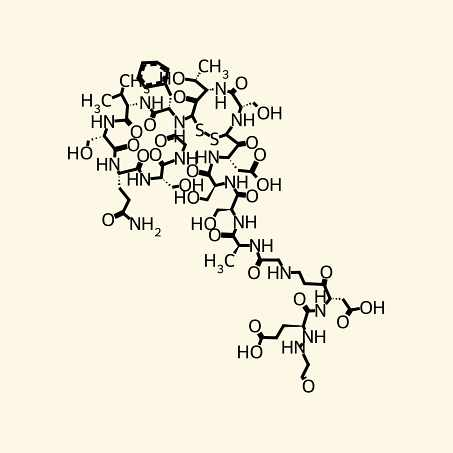 CC(C)[C@H](NC(=O)[C@H](Cc1ccccc1)NC1SSC(C(=O)[C@H](CC(=O)O)NC(=O)[C@H](CO)NC(=O)[C@H](CO)NC(=O)[C@H](C)NC(=O)CNCCC(=O)[C@H](CC(=O)O)NC(=O)[C@H](CCC(=O)O)NNCC=O)N[C@@H](CO)C(=O)N[C@@H]([C@@H](C)O)C1=O)C(=O)N[C@@H](CO)C(=O)N[C@@H](CCC(N)=O)C(=O)N[C@@H](CO)C(=O)NCC=O